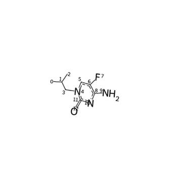 CC(C)Cn1cc(F)c(N)nc1=O